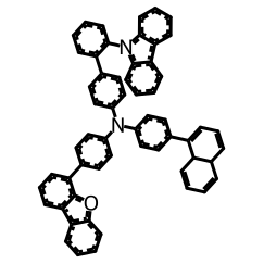 C1=CC2C=CC=C(c3ccc(N(c4ccc(-c5ccccc5-n5c6ccccc6c6ccccc65)cc4)c4ccc(-c5cccc6c5oc5ccccc56)cc4)cc3)C2C=C1